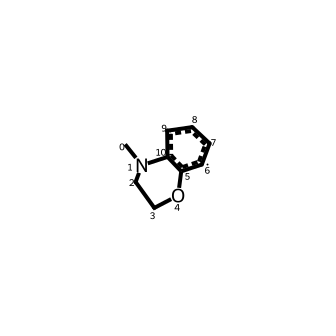 CN1CCOc2[c]cccc21